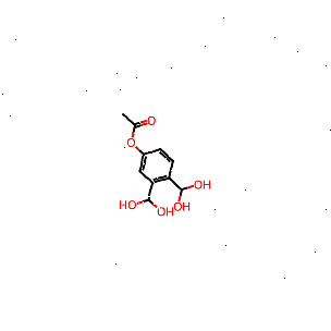 CC(=O)Oc1ccc(C(O)O)c(C(O)O)c1